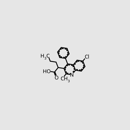 CCCC(C(=O)O)c1c(C)nc2ccc(Cl)cc2c1-c1ccccc1